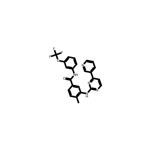 Cc1ccc(C(=O)Nc2cccc(OC(F)(F)F)c2)cc1Nc1nccc(-c2cccnc2)n1